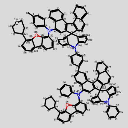 Cc1ccc(N(c2cc3c(c4ccccc24)-c2c(ccc4ccccc24)C32c3ccccc3N(c3ccc(-c4ccc5c(N(c6ccccc6)c6cccc7c6oc6c(C8CCCCC8)cccc67)cc6c(c5c4)-c4c(ccc5ccccc45)C64c5ccccc5N(c5ccccc5)c5ccccc54)cc3)c3ccccc32)c2cccc3c2oc2c(C4CCCCC4)cccc23)cc1